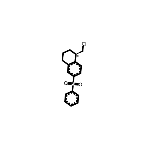 O=S(=O)(c1ccccc1)c1ccc2c(c1)CCC[C@H]2CCl